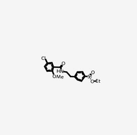 CCO[S@@](=O)c1ccc(CCNC(=O)c2cc(Cl)ccc2OC)cc1